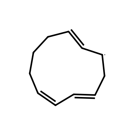 [CH]1/C=C/CCC/C=C\C=C\C1